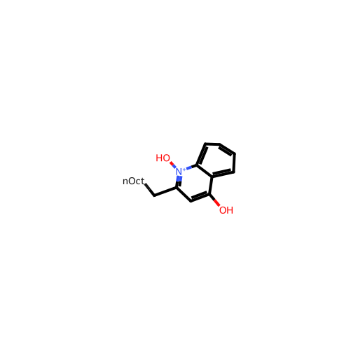 CCCCCCCCCc1cc(O)c2ccccc2[n+]1O